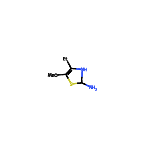 CCC1=C(OC)SC(N)N1